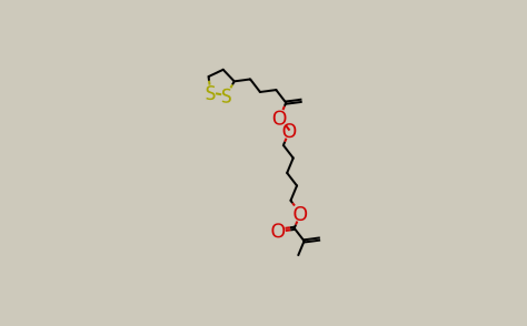 C=C(CCCC1CCSS1)OOCCCCCOC(=O)C(=C)C